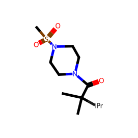 CC(C)C(C)(C)C(=O)N1CCN(S(C)(=O)=O)CC1